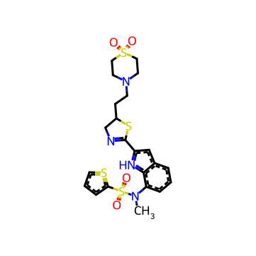 CN(c1cccc2cc(C3=NCC(CCN4CCS(=O)(=O)CC4)S3)[nH]c12)S(=O)(=O)c1cccs1